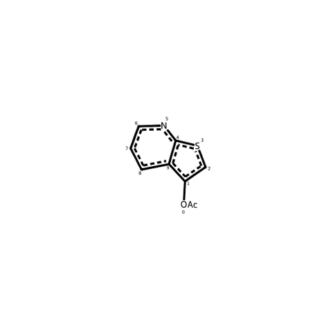 CC(=O)Oc1csc2ncccc12